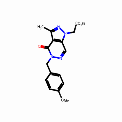 CCOC(=O)Cn1nc(C)c2c(=O)n(Cc3ccc(OC)cc3)ncc21